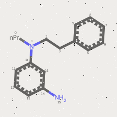 CCCN(CCc1ccccc1)c1cccc(N)c1